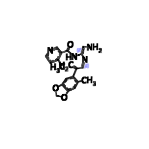 C=C(/C=N\C(=C/N)NC(=O)c1cnccc1C)c1cc2c(cc1C)OCO2